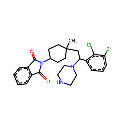 CC1(CC(c2cccc(Cl)c2Cl)N2CCNCC2)CCC(N2C(=O)c3ccccc3C2=O)CC1